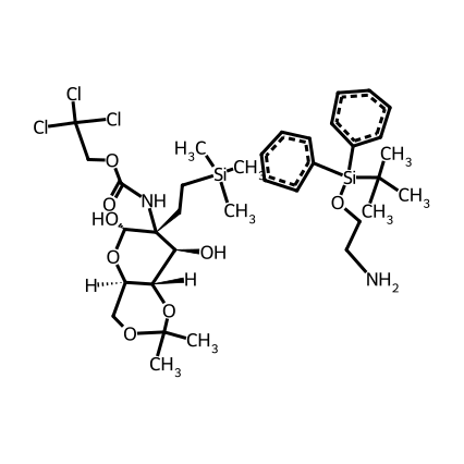 CC(C)(C)[Si](OCCN)(c1ccccc1)c1ccccc1.CC1(C)OC[C@H]2O[C@H](O)[C@](CC[Si](C)(C)C)(NC(=O)OCC(Cl)(Cl)Cl)[C@@H](O)[C@@H]2O1